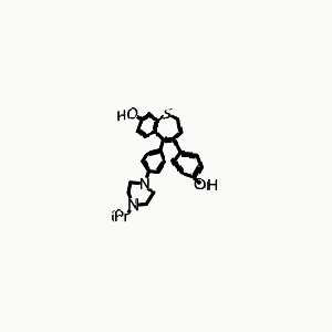 CC(C)N1CCN(c2ccc(C3=C(c4ccc(O)cc4)CCSc4cc(O)ccc43)cc2)CC1